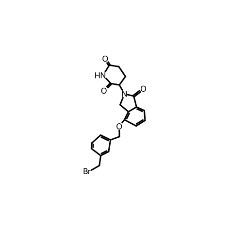 O=C1CCC(N2Cc3c(OCc4cccc(CBr)c4)cccc3C2=O)C(=O)N1